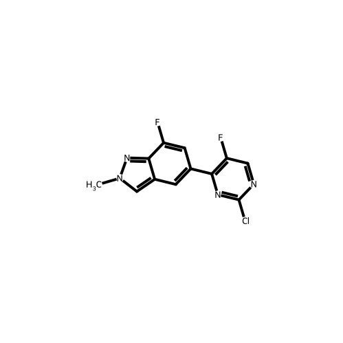 Cn1cc2cc(-c3nc(Cl)ncc3F)cc(F)c2n1